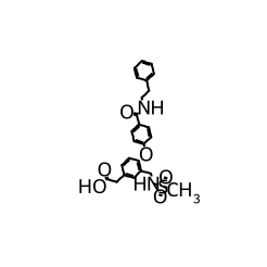 CS(=O)(=O)NCc1cc(CC(=O)O)ccc1Oc1ccc(C(=O)NCCc2ccccc2)cc1